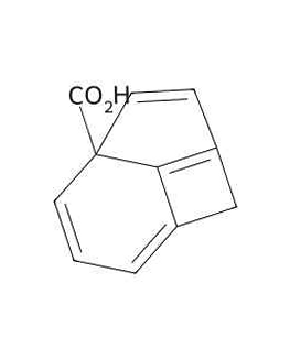 O=C(O)C12C=CC=C3CC(=C31)C=C2